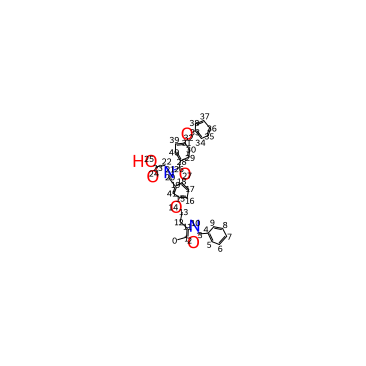 Cc1oc(-c2ccccc2)nc1CCOc1cccc(CN(CC(=O)O)C(=O)c2ccc(Oc3ccccc3)cc2)c1